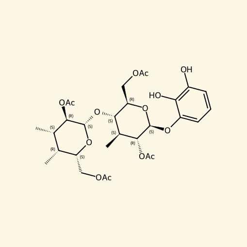 CC(=O)OC[C@H]1O[C@@H](O[C@H]2[C@H](C)[C@@H](OC(C)=O)[C@H](Oc3cccc(O)c3O)O[C@@H]2COC(C)=O)[C@H](OC(C)=O)[C@@H](C)[C@H]1C